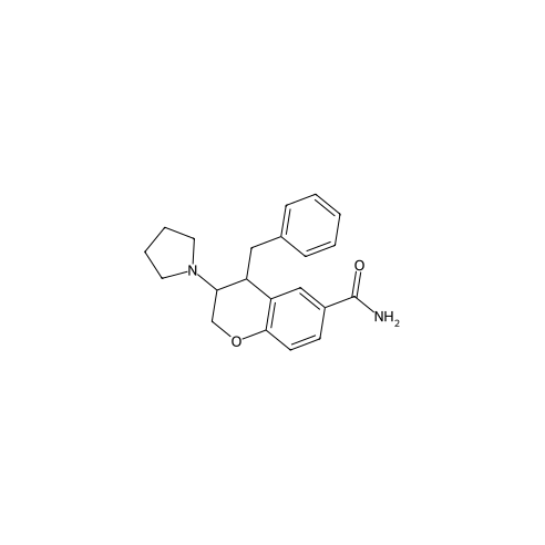 NC(=O)c1ccc2c(c1)C(Cc1ccccc1)C(N1CCCC1)CO2